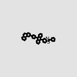 c1ccc(-c2nc3cc(-c4c5ccccc5c(-c5ccc(-c6ccc7ccc8ccccc8c7c6)cc5)c5ccccc45)ccc3s2)cc1